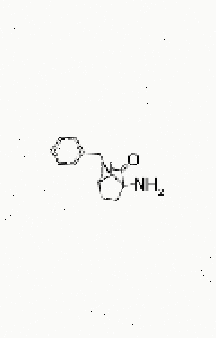 NC12CCC(C1)N(Cc1ccccc1)C2=O